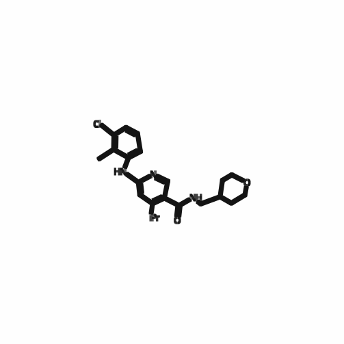 Cc1c(Cl)cccc1Nc1cc(C(C)C)c(C(=O)NCC2CCOCC2)cn1